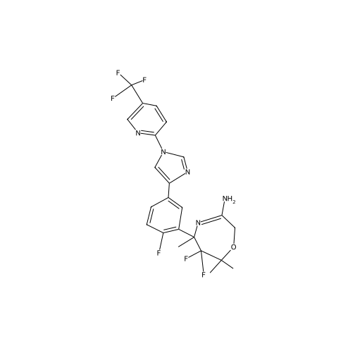 CC1(C)OCC(N)=NC(C)(c2cc(-c3cn(-c4ccc(C(F)(F)F)cn4)cn3)ccc2F)C1(F)F